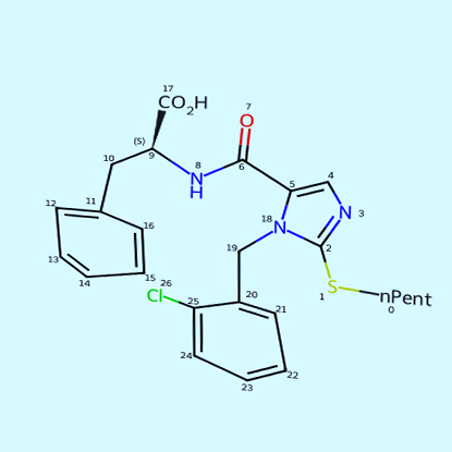 CCCCCSc1ncc(C(=O)N[C@@H](Cc2ccccc2)C(=O)O)n1Cc1ccccc1Cl